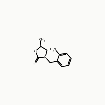 CC1CN(Cc2ccccc2N)C(=S)O1